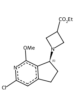 CCOC(=O)C1CN([C@H]2CCc3cc(Cl)nc(OC)c32)C1